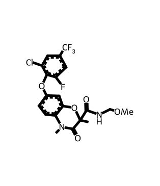 COCNC(=O)C1(C)Oc2cc(Oc3c(F)cc(C(F)(F)F)cc3Cl)ccc2N(C)C1=O